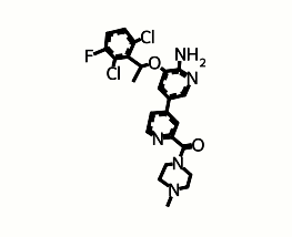 CC(Oc1cc(-c2ccnc(C(=O)N3CCN(C)CC3)c2)cnc1N)c1c(Cl)ccc(F)c1Cl